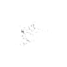 CCOc1ccc(-n2c(C)c3c(C)nnc(C4C[C@]5(C)C[C@H]4CC(C)(C)C5)c3c2C)c(OC)c1